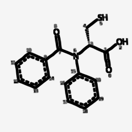 O=C(O)[C@@H](CS)N(C(=O)c1ccccc1)c1ccccc1